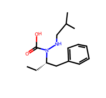 CC[C@@H](Cc1ccccc1)N(NCC(C)C)C(=O)O